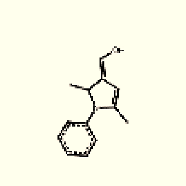 CC1=CC(=CO)C(C)N1c1ccccc1